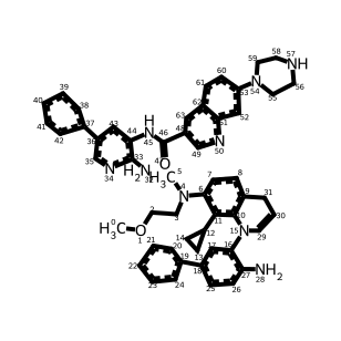 COCCN(C)c1ccc2c(c1C1CC1)N(c1cc(-c3ccccc3)ccc1N)C=CC2.Nc1ncc(-c2ccccc2)cc1NC(=O)c1cnc2cc(N3CCNCC3)ccc2c1